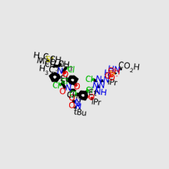 CC(C)Oc1cc(-n2nc(C(C)(C)C)oc2=O)c(Cl)cc1Cl.CC1COc2ccccc2N1C(=O)C(Cl)Cl.CCNc1nc(Cl)nc(NC(C)C)n1.CCc1cccc(C)c1N(C(=O)CCl)C(C)COC.C[S+](C)C.O=C(O)CNCP(=O)([O-])O